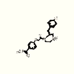 CCCCCCCCC(=O)c1ccc(OCC(=O)N2CCNCC2Cc2ccc(Cl)cc2)cc1